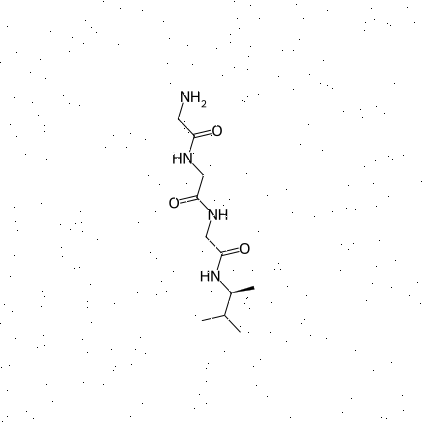 CC(C)[C@H](C)NC(=O)CNC(=O)CNC(=O)CN